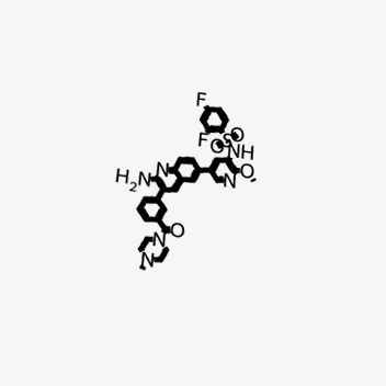 COc1ncc(-c2ccc3nc(N)c(-c4cccc(C(=O)N5CCN(C)CC5)c4)cc3c2)cc1NS(=O)(=O)c1ccc(F)cc1F